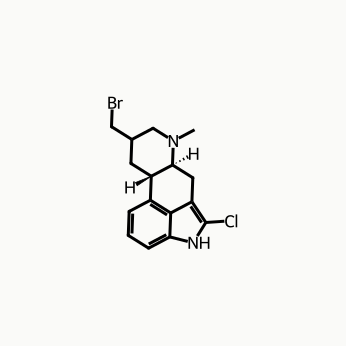 CN1CC(CBr)C[C@H]2c3cccc4[nH]c(Cl)c(c34)C[C@@H]21